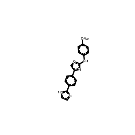 COc1ccc(Nc2nc(-c3ccc(-c4ncc[nH]4)cc3)co2)cc1